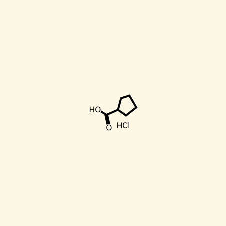 Cl.O=C(O)C1CCCC1